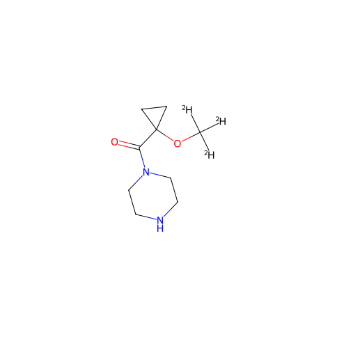 [2H]C([2H])([2H])OC1(C(=O)N2CCNCC2)CC1